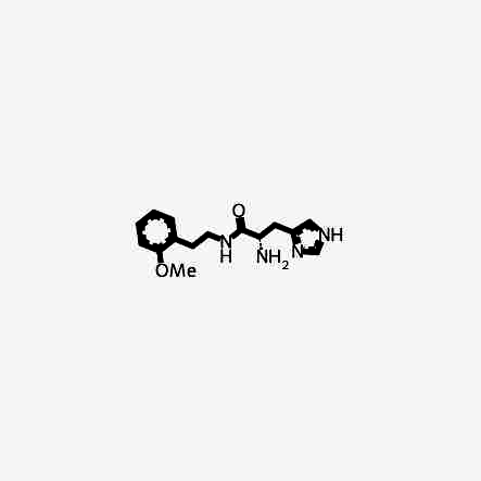 COc1ccccc1CCNC(=O)[C@@H](N)Cc1c[nH]cn1